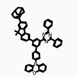 CC1(C)c2ccc(-c3cc(-c4ccc(N5c6ccccc6Oc6ccccc65)cc4)cc(-c4nc(-c5ccccc5)nc(-c5ccccc5)n4)c3)cc2-c2ccc(C3C4CC5CC(C4)CC3C5)cc21